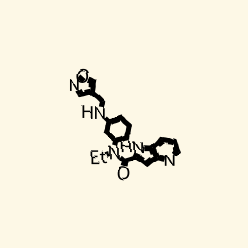 CCN(C(=O)c1cc2ncccc2[nH]1)C1CCC=C(NCc2cnoc2)C1